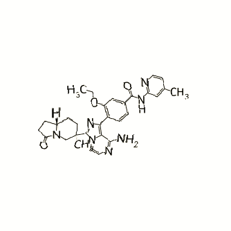 CCOc1cc(C(=O)Nc2cc(C)ccn2)ccc1-c1nc([C@]2(C)CC[C@H]3CCC(=O)N3C2)n2ccnc(N)c12